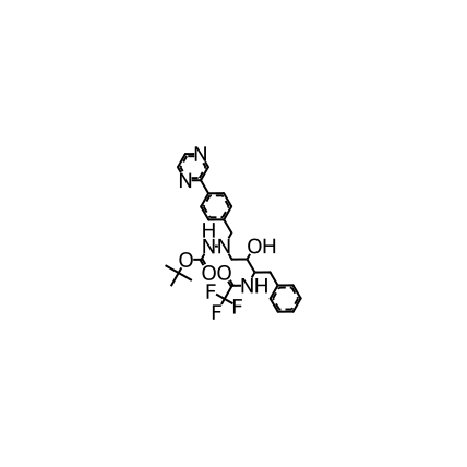 CC(C)(C)OC(=O)NN(Cc1ccc(-c2cnccn2)cc1)CC(O)C(Cc1ccccc1)NC(=O)C(F)(F)F